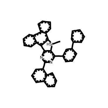 C[SiH]1c2c(-c3cccc(-c4ccccc4)c3)nc(-c3cccc4ccccc34)nc2-c2c1c1ccccc1c1ccccc21